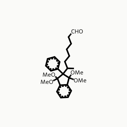 COC1(OC)c2ccccc2C(OC)(OC)C1(c1ccccc1)C(C)CCCCCC=O